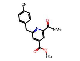 CNC(=O)c1cc(C(=O)OC(C)(C)C)cc(Cc2ccc(C#N)cc2)n1